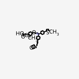 Cc1ccc(-c2ccc(/C(=C/COc3ccc(OCC(=O)O)c(C)c3)c3ccc(C#CCN4CCOCC4)cc3)cc2)s1